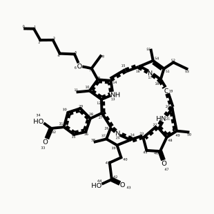 CCCCCCOC(C)c1c(C)c2[nH]c1cc1nc(cc3[nH]c4c(c5nc(c2-c2ccc(C(=O)O)cc2)C(C)C5CCC(=O)O)CC(=O)c4c3C)C(CC)=C1C